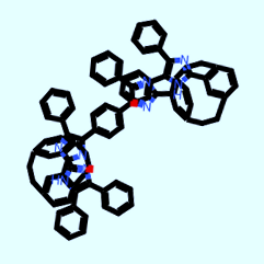 c1ccc(C2=NC(c3cc4ccc3CCc3ccc(cc3-c3nc(-c5ccccc5)c(-c5ccccc5)[nH]3)CC4)N=C2c2ccc(C3=NC(c4cc5ccc4CCc4ccc(cc4-c4nc(-c6ccccc6)c(-c6ccccc6)[nH]4)CC5)N=C3c3ccccc3)cc2)cc1